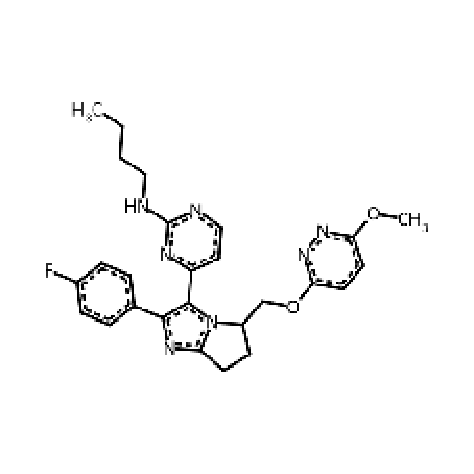 CCCCNc1nccc(-c2c(-c3ccc(F)cc3)nc3n2C(COc2ccc(OC)nn2)CC3)n1